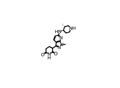 C[C@@H]1CNCC[C@H]1Nc1ccc2c(C3CCC(=O)NC3=O)nn(C)c2n1